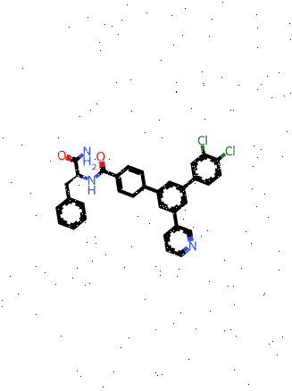 NC(=O)[C@H](Cc1ccccc1)NC(=O)C1=CCC(c2cc(-c3cccnc3)cc(-c3ccc(Cl)c(Cl)c3)c2)C=C1